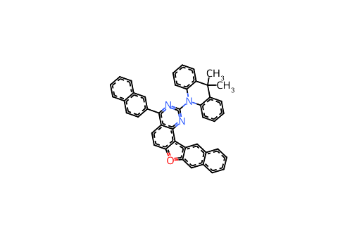 CC1(C)c2ccccc2N(c2nc(-c3ccc4ccccc4c3)c3ccc4oc5cc6ccccc6cc5c4c3n2)c2ccccc21